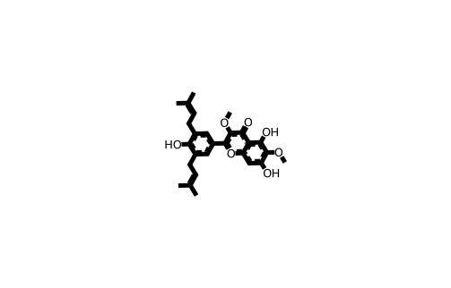 COc1c(O)cc2oc(-c3cc(CC=C(C)C)c(O)c(CC=C(C)C)c3)c(OC)c(=O)c2c1O